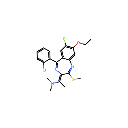 CCOc1cc2c(cc1F)C(c1ccccc1Cl)=N/C(=C(/C)N(C)C)C(SC)=N2